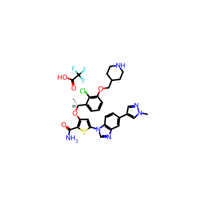 C[C@@H](Oc1cc(-n2cnc3cc(-c4cnn(C)c4)ccc32)sc1C(N)=O)c1cccc(OCC2CCNCC2)c1Cl.O=C(O)C(F)(F)F